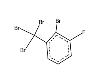 Fc1cccc(C(Br)(Br)Br)c1Br